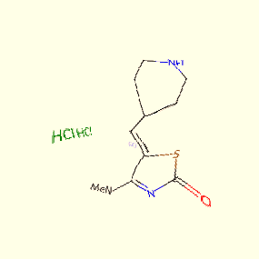 CNC1=NC(=O)S/C1=C\C1CCNCC1.Cl.Cl